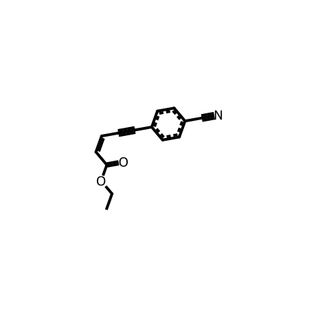 CCOC(=O)/C=C\C#Cc1ccc(C#N)cc1